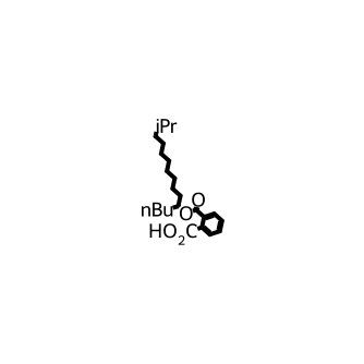 CCCCC(CCCCCCCCC(C)C)OC(=O)c1ccccc1C(=O)O